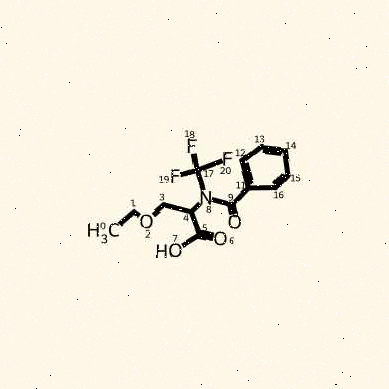 CCOCC(C(=O)O)N(C(=O)c1ccccc1)C(F)(F)F